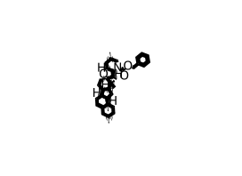 C[C@H]1CC[C@@]2(C)C(=CC[C@H]3[C@@H]4CC[C@]5(O[C@@H]6C[C@H](C)CN(C(=O)OCc7ccccc7)[C@H]6[C@H]5C)[C@]5(C)C[C@]45C[C@@H]32)C1